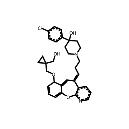 OCC1(COC2C=CC=C3Oc4ncccc4C(=CCCN4CCC(O)(c5ccc(Cl)cc5)CC4)C=C32)CC1